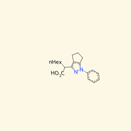 CCCCCCC(C(=O)O)c1nn(-c2ccccc2)c2c1CCC2